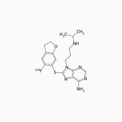 CC(C)NCCCn1c(Sc2cc3c(cc2[124I])CCO3)nc2c(N)ncnc21